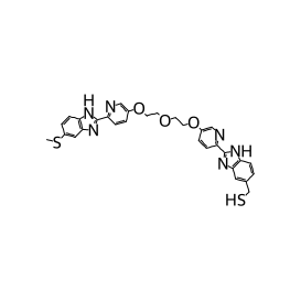 CSc1ccc2[nH]c(-c3ccc(OCCOCCOc4ccc(-c5nc6cc(CS)ccc6[nH]5)nc4)cn3)nc2c1